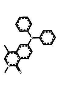 Cc1cn(C)c(=O)c2ccc(N(c3ccccc3)c3ccccc3)cc12